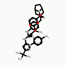 Cc1ccc(-n2nc(C(C)(C)C)cc2NC(=O)Nc2ccc(CC3CC4CCC(C3)N4C(=O)c3cccc(C(C)C#N)c3)cc2)cc1